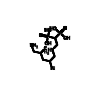 CCC(CNCC(P(=O)(O)O)P(=O)(O)O)CC(C)CN